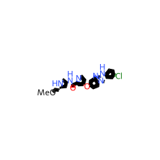 COCC[C@H]1C[C@@H](NC(=O)c2cc(Oc3ccc4c(c3)nc(Nc3ccc(Cl)cc3)n4C)ccn2)CN1